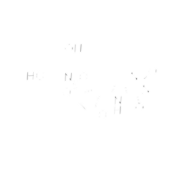 CCCOc1ccc(S(=O)(=O)N(CCO)CCO)cc1-c1cc2c([nH]1)c(=O)n(C)c(=O)n2CCC